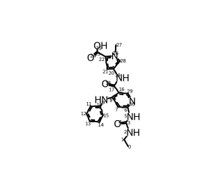 CCNC(=O)Nc1cc(Nc2ccccc2)c(C(=O)Nc2cc(C(=O)O)n(C)c2)cn1